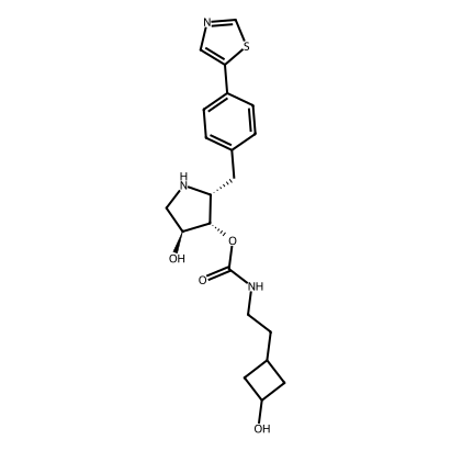 O=C(NCCC1CC(O)C1)O[C@@H]1[C@@H](O)CN[C@@H]1Cc1ccc(-c2cncs2)cc1